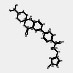 CC(C)N1CCC2(CC1)CC(=O)c1cc(-c3ccc(C(=O)NCc4cnn(C)c4)cn3)ccc1O2